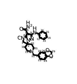 N#CCC1(n2cc(C(N)=O)c(Nc3ccccc3)n2)CCN(Cc2ccc3c(c2)OCO3)CC1